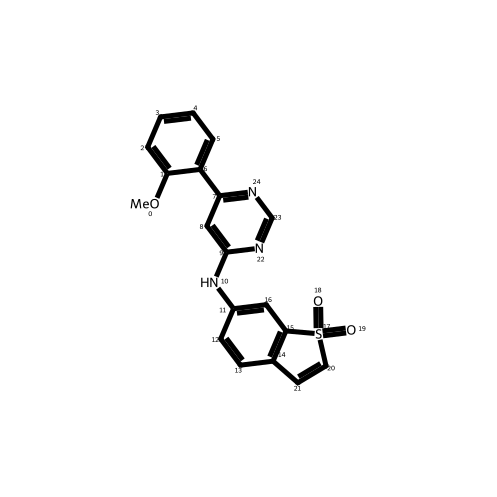 COc1ccccc1-c1cc(Nc2ccc3c(c2)S(=O)(=O)C=C3)ncn1